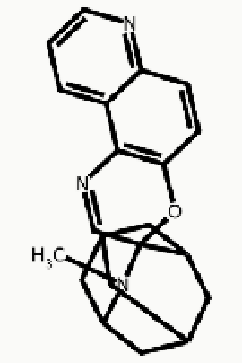 CN1C2CC3CC(C2)CC(C3)C12C=Nc1c(ccc3ncccc13)O2